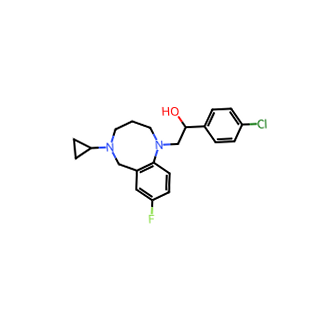 OC(CN1CCCN(C2CC2)Cc2cc(F)ccc21)c1ccc(Cl)cc1